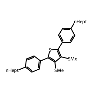 CCCCCCCc1ccc(-c2sc(-c3ccc(CCCCCCC)cc3)c(SC)c2SC)cc1